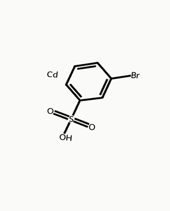 O=S(=O)(O)c1cccc(Br)c1.[Cd]